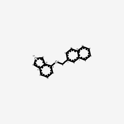 c1ccc2cc(COc3cccc4cocc34)ccc2c1